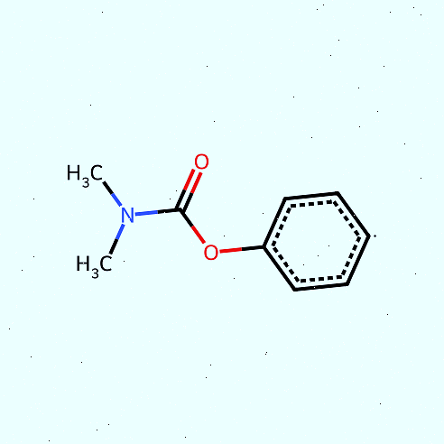 CN(C)C(=O)Oc1cc[c]cc1